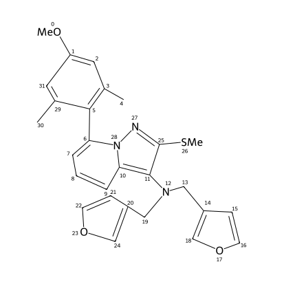 COc1cc(C)c(-c2cccc3c(N(Cc4ccoc4)Cc4ccoc4)c(SC)nn23)c(C)c1